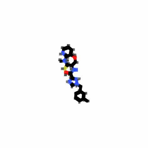 Cc1cccc(Cn2cnc(C(=O)N[C@H]3COc4cccnc4N(C)C3=S)n2)c1